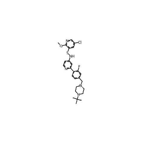 COc1ncc(Cl)cc1SNc1ccnc(-c2ccc(CN3CCN(C(C)(C)C)CC3)cc2F)c1